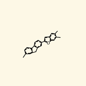 Cc1ccc2c(c1)Cc1cc(-c3cc4cc(C)c(C)cc4o3)ccc1-2